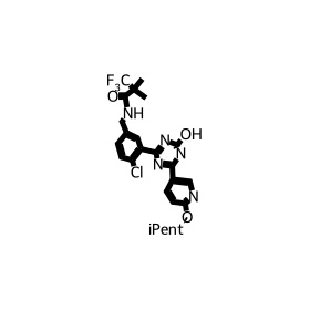 CCC[C@@H](C)Oc1ccc(-c2nc(O)nc(-c3cc(CNC(=O)C(C)(C)C(F)(F)F)ccc3Cl)n2)cn1